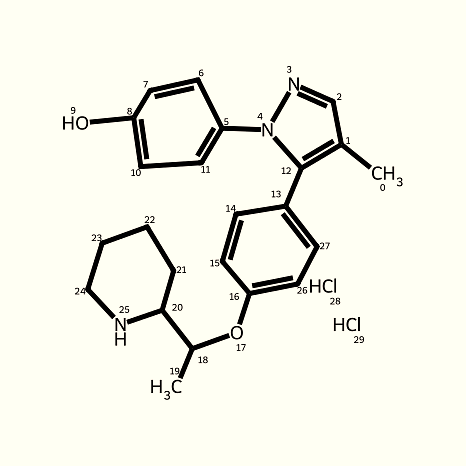 Cc1cnn(-c2ccc(O)cc2)c1-c1ccc(OC(C)C2CCCCN2)cc1.Cl.Cl